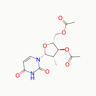 CC(=O)OC[C@H]1O[C@@H](n2ccc(=O)[nH]c2=O)[C@@H](C)[C@@H]1OC(C)=O